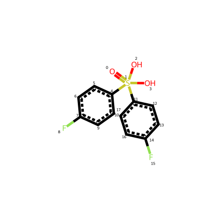 O=S(O)(O)(c1ccc(F)cc1)c1ccc(F)cc1